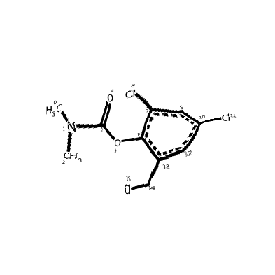 CN(C)C(=O)Oc1c(Cl)cc(Cl)cc1CCl